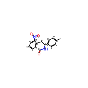 Cc1ccc(C(Cc2ccccc2[N+](=O)[O-])NC=O)cc1